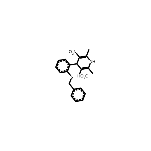 CC1=C(C(=O)O)C(c2ccccc2SCc2ccccc2)C([N+](=O)[O-])=C(C)N1